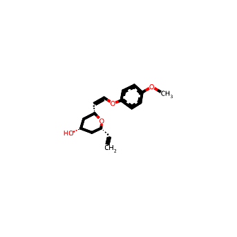 C=C[C@@H]1C[C@H](O)C[C@H](/C=C\Oc2ccc(OC)cc2)O1